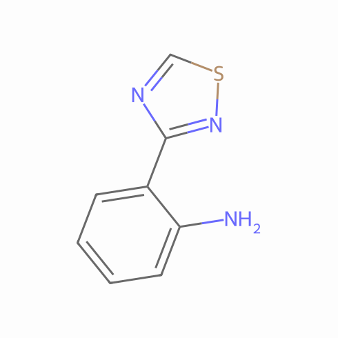 Nc1ccccc1-c1ncsn1